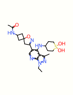 CCn1nc(C)c2c(NC3CCS(O)(O)CC3)c(C3=NOC4(C3)CC(NC(C)=O)C4)cnc21